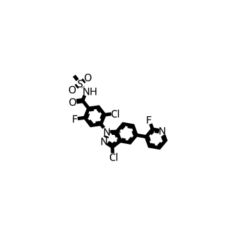 CS(=O)(=O)NC(=O)c1cc(Cl)c(-n2nc(Cl)c3cc(-c4cccnc4F)ccc32)cc1F